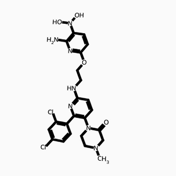 CN1CCN(c2ccc(NCCOc3ccc(N(O)O)c(N)n3)nc2-c2ccc(Cl)cc2Cl)C(=O)C1